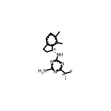 Cc1ccc2c(c1C)[C@H](Nc1nc(N)nc([C@@H](C)F)n1)CC2